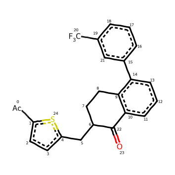 CC(=O)c1ccc(CC2CCc3c(cccc3-c3cccc(C(F)(F)F)c3)C2=O)s1